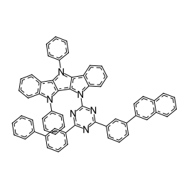 c1ccc(-c2cccc(-c3nc(-c4cccc(-c5ccc6ccccc6c5)c4)nc(-n4c5ccccc5c5c4c4c(c6ccccc6n4-c4ccccc4)n5-c4ccccc4)n3)c2)cc1